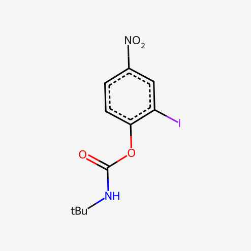 CC(C)(C)NC(=O)Oc1ccc([N+](=O)[O-])cc1I